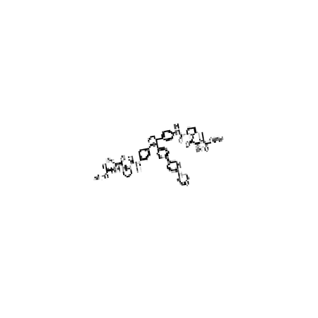 COC(=O)N[C@H](C(=O)N1CCC[C@H]1C(=O)Nc1ccc(C2CCC(c3ccc(NC(=O)[C@@H]4CCCN4C(=O)[C@@H](NC(=O)OC)C(C)C)cc3)N2c2ccc(-c3ccc(N4CCOCC4)nc3)cc2)cc1)C(C)C